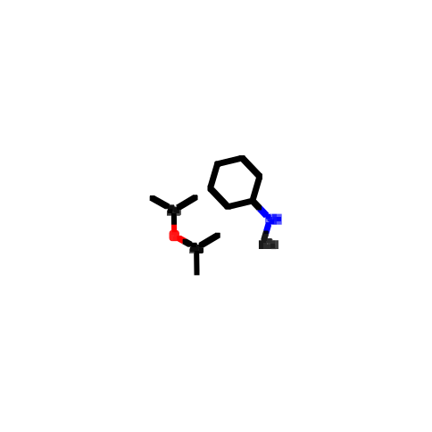 CCCCNC1CCCCC1.C[As](C)O[As](C)C